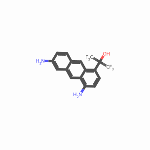 Nc1ccc2cc3c(C(O)(C(F)(F)F)C(F)(F)F)ccc(N)c3cc2c1